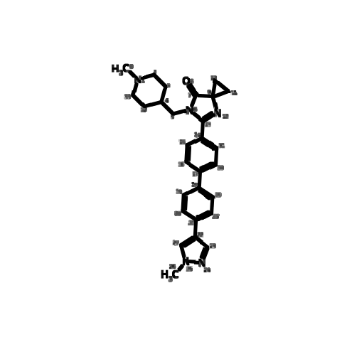 CN1CCC(CN2C(=O)C3(CC3)N=C2c2ccc(-c3ccc(-c4cnn(C)c4)cc3)cc2)CC1